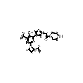 Cc1c(-c2cnn(CC(=O)N3CCNCC3)c2)nc(N2CC[C@@H]2C(F)F)nc1C(F)F